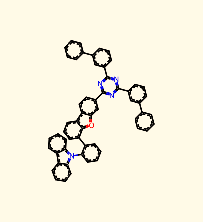 c1ccc(-c2cccc(-c3nc(-c4cccc(-c5ccccc5)c4)nc(-c4ccc5c(c4)oc4c(-c6ccccc6-n6c7ccccc7c7ccccc76)cccc45)n3)c2)cc1